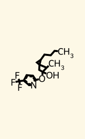 CCCCC1CC12CC(O)(Oc1ccc(C(F)(F)F)cn1)C2C